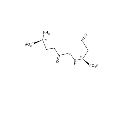 N[C@@H](CCC(=O)SN[C@@H](C[S+]=O)C(=O)O)C(=O)O